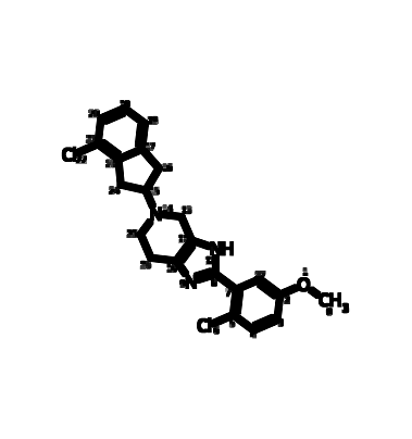 COc1ccc(Cl)c(-c2nc3c([nH]2)CN(C2Cc4cccc(Cl)c4C2)CC3)c1